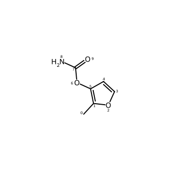 Cc1occc1OC(N)=O